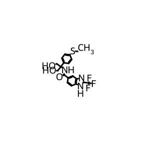 CCSc1ccc(C(CO)(CO)NC(=O)c2ccc3[nH]c(C(F)(F)F)nc3c2)cc1